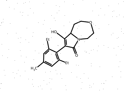 CCc1cc(C)cc(CC)c1C1=C(O)C2CCOCCN2C1=O